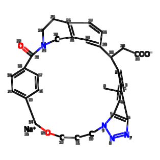 Cc1c2ccc3c1nnn3CCCOCc1ccc(cc1)C(=O)N1CCc3ccc(cc3C1)C2CC(=O)[O-].[Na+]